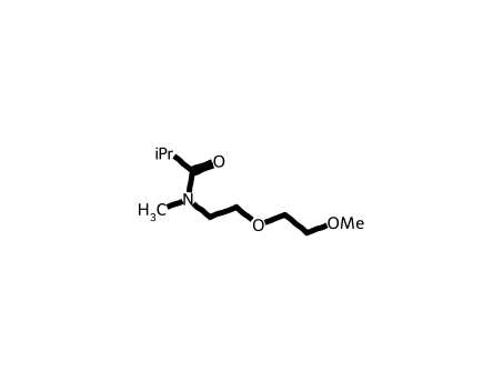 COCCOCCN(C)C(=O)C(C)C